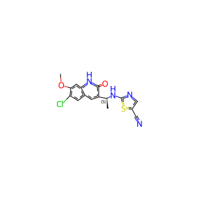 COc1cc2[nH]c(=O)c([C@H](C)Nc3ncc(C#N)s3)cc2cc1Cl